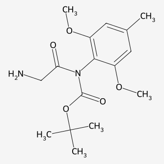 COc1cc(C)cc(OC)c1N(C(=O)CN)C(=O)OC(C)(C)C